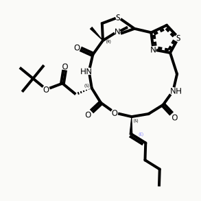 CCC/C=C/[C@@H]1CC(=O)NCc2nc(cs2)C2=N[C@@](C)(CS2)C(=O)N[C@@H](CC(=O)OC(C)(C)C)C(=O)O1